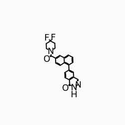 O=C(c1ccc2c(-c3ccc4c(=O)[nH]ncc4c3)cccc2c1)N1CCC(F)(F)CC1